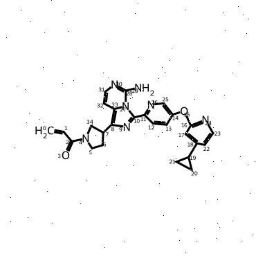 C=CC(=O)N1CCC(c2nc(-c3ccc(Oc4cc(C5CC5)ccn4)cn3)n3c(N)nccc23)C1